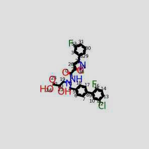 O=C(NN(Cc1ccc(-c2cc(Cl)ccc2F)cc1)CC(O)C(=O)O)c1cc(-c2cccc(F)c2)no1